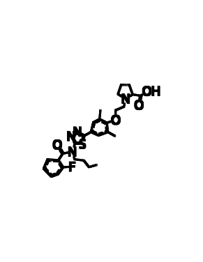 CCCCN(C(=O)c1ccccc1F)c1nnc(-c2cc(C)c(OCCN3CCCC3C(=O)O)c(C)c2)s1